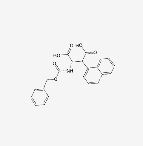 O=C(N[C@H](C(=O)O)C(C(=O)O)c1cccc2ccccc12)OCc1ccccc1